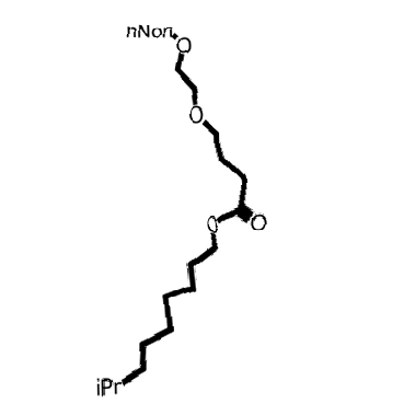 CCCCCCCCCOCCOCCCC(=O)OCCCCCCCC(C)C